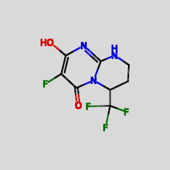 O=c1c(F)c(O)nc2n1C(C(F)(F)F)CCN2